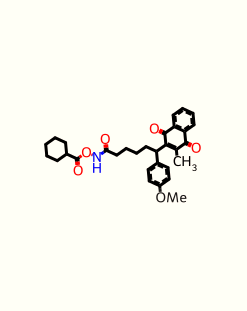 COc1ccc(C(CCCCC(=O)NOC(=O)C2CCCCC2)C2=C(C)C(=O)c3ccccc3C2=O)cc1